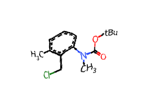 Cc1cccc(N(C)C(=O)OC(C)(C)C)c1CCl